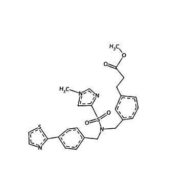 COC(=O)CCc1cccc(CN(Cc2ccc(-c3nccs3)cc2)S(=O)(=O)c2cn(C)cn2)c1